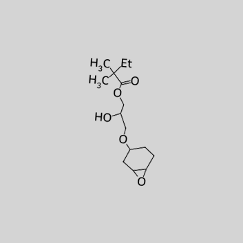 CCC(C)(C)C(=O)OCC(O)COC1CCC2OC2C1